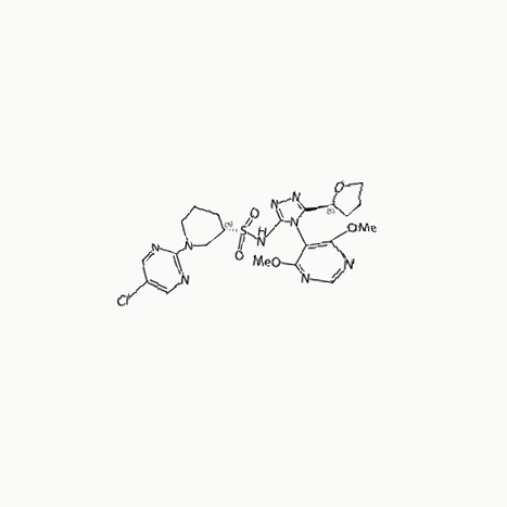 COc1ncnc(OC)c1-n1c(NS(=O)(=O)[C@H]2CCCN(c3ncc(Cl)cn3)C2)nnc1[C@@H]1CCCO1